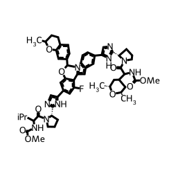 COC(=O)NC(C(=O)N1CCC[C@H]1c1ncc(-c2cc(F)c3c(c2)OC(c2ccc4c(c2)OC(C)CC4)n2c-3cc3cc(-c4cnc([C@@H]5CCCN5C(=O)C(NC(=O)OC)C5C[C@@H](C)O[C@@H](C)C5)[nH]4)ccc32)[nH]1)C(C)C